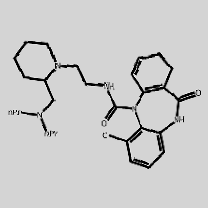 CCCN(CCC)CC1CCCCN1CCNC(=O)N1C2=C(CCC=C2)C(=O)Nc2cccc(Cl)c21